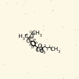 CCCCC(=O)OC(C)c1ccc(OC(C)OCC)cc1